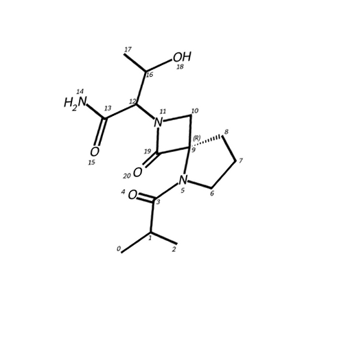 CC(C)C(=O)N1CCC[C@]12CN(C(C(N)=O)C(C)O)C2=O